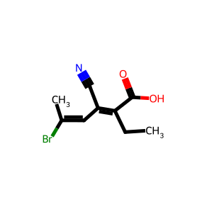 CC/C(C(=O)O)=C(C#N)\C=C(/C)Br